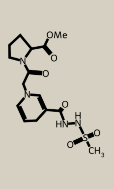 COC(=O)C1CCCN1C(=O)CN1C=CCC(C(=O)NNS(C)(=O)=O)=C1